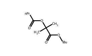 CCCC(=O)OC(C)(C)C(=O)OC(C)CC